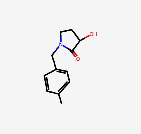 Cc1ccc(CN2CCC(O)C2=O)cc1